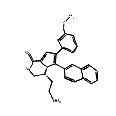 NCC[C@H]1CNC(=O)c2cc(-c3cccc(OC(F)(F)F)c3)c(-c3ccc4ccccc4c3)n21